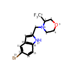 FC(F)(F)C1COCCN1Cc1cc2cc(Br)ccc2[nH]1